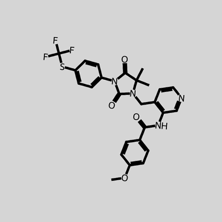 COc1ccc(C(=O)Nc2cnccc2CN2C(=O)N(c3ccc(SC(F)(F)F)cc3)C(=O)C2(C)C)cc1